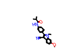 CCn1c(-c2ccc(NC(=O)C(C)C)cc2)c(C#N)c2ccc(OC)cc21